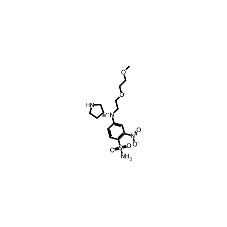 COCCOCCN(c1ccc(S(N)(=O)=O)c([N+](=O)[O-])c1)[C@@H]1CCNC1